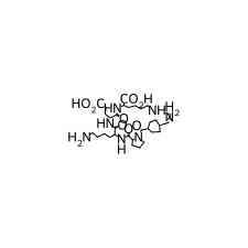 NCCCCC(NC(=O)C(CCC(=O)O)NC(=O)C(CCCCN)NC(=O)C1CCCN1C(=O)C1CCC(CN)CC1)C(=O)O